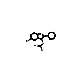 N=C(N)Nc1c(-c2ccccc2)[nH]c2ccc(Cl)cc12